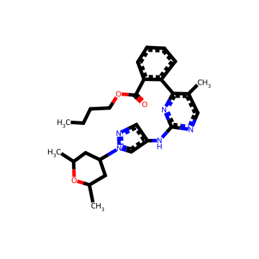 CCCCOC(=O)c1ccccc1-c1nc(Nc2cnn(C3CC(C)OC(C)C3)c2)ncc1C